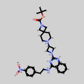 CC(C)(C)OC(=O)N1CC2(CCN(C3CN(c4nc(NCCc5ccc([N+](=O)[O-])cc5)c5ccccc5n4)C3)CC2)C1